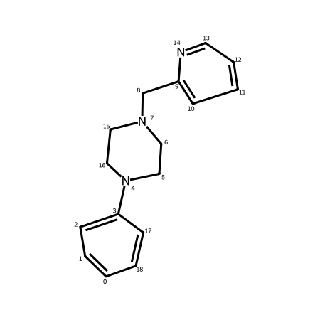 c1ccc(N2CCN(Cc3ccccn3)CC2)cc1